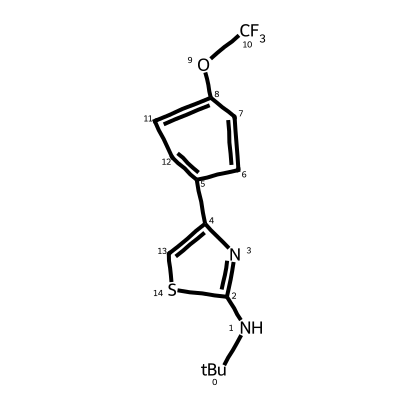 CC(C)(C)Nc1nc(-c2ccc(OC(F)(F)F)cc2)cs1